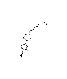 CCCCCCC1CCC(c2ccc(C#N)c(F)c2)OC1